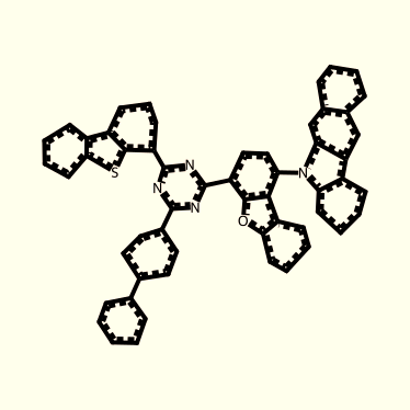 c1ccc(-c2ccc(-c3nc(-c4ccc(-n5c6ccccc6c6cc7ccccc7cc65)c5c4oc4ccccc45)nc(-c4cccc5c4sc4ccccc45)n3)cc2)cc1